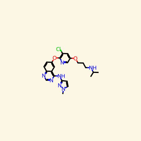 CC(C)NCCCOc1cnc(Oc2ccc3ncnc(Nc4ccn(C)n4)c3c2)c(Cl)c1